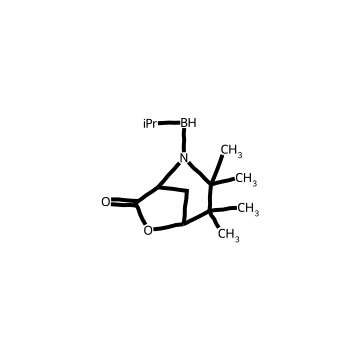 CC(C)BN1C2CC(OC2=O)C(C)(C)C1(C)C